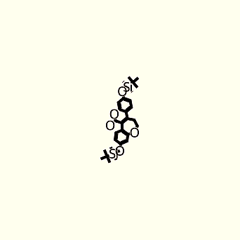 CC(C)(C)[Si](C)(C)Oc1ccc2c(c1)OCCc1c-2c(=O)oc2cc(O[Si](C)(C)C(C)(C)C)ccc12